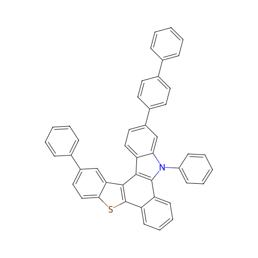 c1ccc(-c2ccc(-c3ccc4c5c6c7cc(-c8ccccc8)ccc7sc6c6ccccc6c5n(-c5ccccc5)c4c3)cc2)cc1